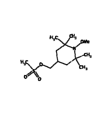 CON1C(C)(C)CC(COS(C)(=O)=O)CC1(C)C